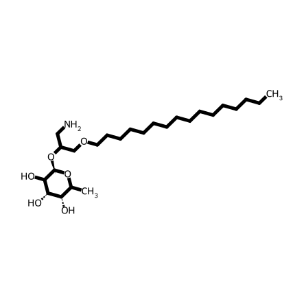 CCCCCCCCCCCCCCCCOCC(CN)O[C@H]1OC(C)[C@H](O)[C@H](O)C1O